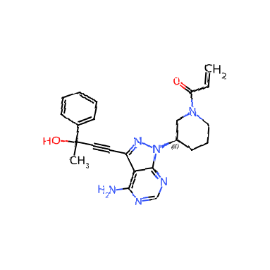 C=CC(=O)N1CCC[C@@H](n2nc(C#CC(C)(O)c3ccccc3)c3c(N)ncnc32)C1